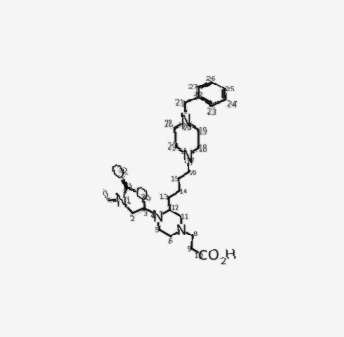 CN1CC(N2CCN(CCC(=O)O)CC2CCCCN2CCN(Cc3ccccc3)CC2)OC1=O